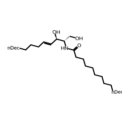 CCCCCCCCCCCCC/C=C/[C@@H](O)[C@H](CO)NC(=O)CCCCCCCCCCCCCCCCCC